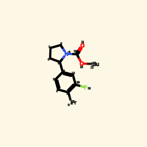 CC(C)c1ccc(C2CCCN2C(=O)OC(C)(C)C)cc1F